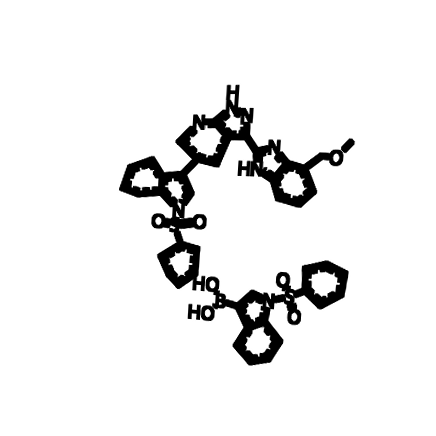 COCc1cccc2[nH]c(-c3n[nH]c4ncc(-c5cn(S(=O)(=O)c6ccccc6)c6ccccc56)cc34)nc12.O=S(=O)(c1ccccc1)n1cc(B(O)O)c2ccccc21